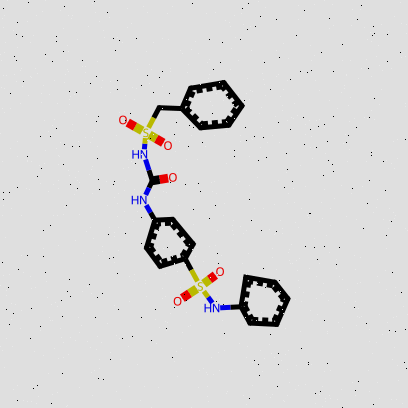 O=C(Nc1ccc(S(=O)(=O)Nc2ccccc2)cc1)NS(=O)(=O)Cc1ccccc1